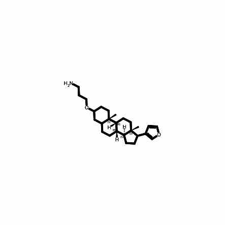 C[C@]12CCC(OCCCN)CC1CC[C@@H]1[C@H]2CC[C@]2(C)C(c3ccoc3)CC[C@@H]12